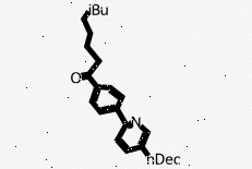 CCCCCCCCCCc1ccc(-c2ccc(C(=O)CCCCC(C)CC)cc2)nc1